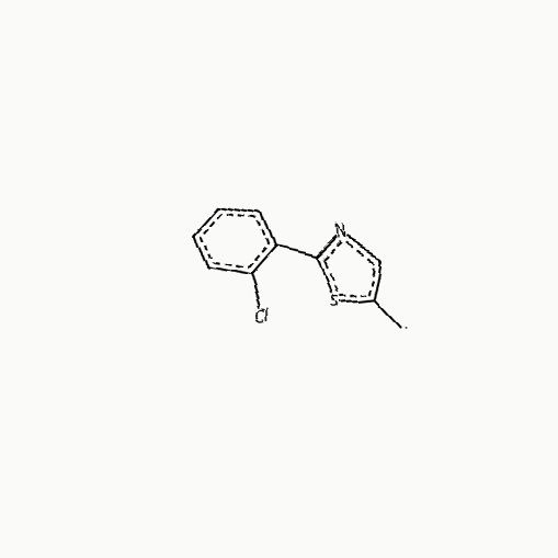 [CH2]c1cnc(-c2ccccc2Cl)s1